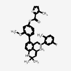 COc1cc(OC(=O)c2occc2C)ccc1-c1ccc2c(c1CNc1cc(F)ccc1C)C(C)=CC(C)(C)N2